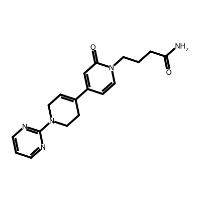 NC(=O)CCCn1ccc(C2=CCN(c3ncccn3)CC2)cc1=O